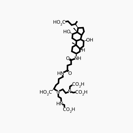 CC(CCC(=O)O)[C@H]1CCC2C3C(C[C@H](O)[C@@]21C)[C@@]1(C)CC[C@H](NC(=O)CCC(=O)NCCCC[C@@H](C(=O)O)N(CCNCC(=O)O)CCN(CC(=O)O)CC(=O)O)C[C@H]1C[C@H]3O